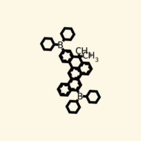 CC1(C)c2cc(B(C3CCCCC3)C3CCCCC3)ccc2-c2cc3c4ccccc4c(B(C4CCCCC4)C4CCCCC4)cc3c3cccc1c23